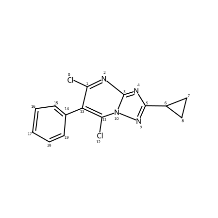 Clc1nc2nc(C3CC3)nn2c(Cl)c1-c1ccccc1